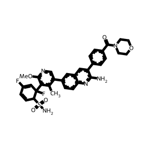 COc1ncc(-c2ccc3nc(N)c(-c4ccc(C(=O)N5CCOCC5)cc4)cc3c2)c(C)c1C1(F)C=C(F)C=CC1S(N)(=O)=O